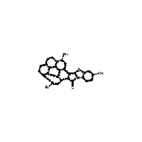 CC(C)(C)c1ccc2c(c1)nc1c3c4cc(C(C)(C)C)c5ccc6ccc7c(C(C)(C)C)cc(c3c(=O)n21)c1c7c6c5c41